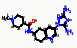 CN1CCC(C(=O)NC2CCc3ncc(-n4nc(N)nc4N)cc3C2)CC1